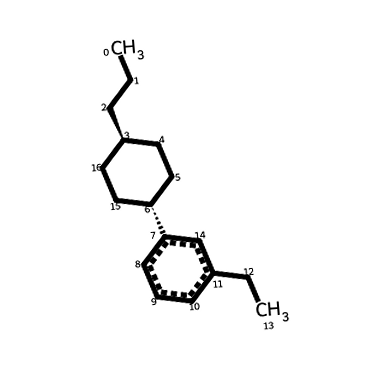 CCC[C@H]1CC[C@H](c2[c]ccc(CC)c2)CC1